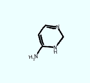 NC1=CC=NCN1